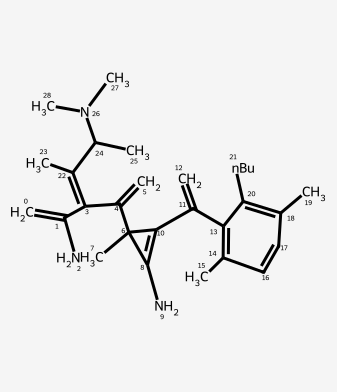 C=C(N)/C(C(=C)C1(C)C(N)=C1C(=C)c1c(C)ccc(C)c1CCCC)=C(\C)C(C)N(C)C